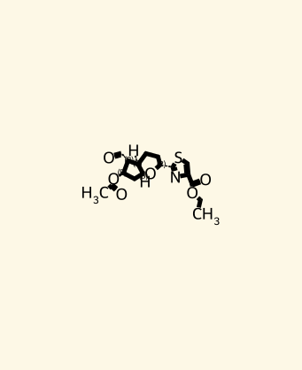 CCOC(=O)c1csc([C@H]2CC[C@@H]3[C@@H](C=O)[C@H](OC(C)=O)C[C@@H]3O2)n1